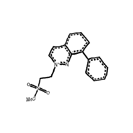 COS(=O)(=O)CC[n+]1ccc2cccc(-c3ccccc3)c2n1